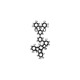 c1cc(-c2cc3c4c(c2)Oc2ccccc2B4c2ccccc2O3)cc(-c2cccc3sc4c(cc5c6ccccc6n6c7ccccc7c4c56)c23)c1